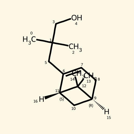 CC(C)(CO)CC1=CC[C@H]2C[C@H]1C2(C)C